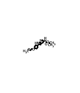 COCCOc1ccc(-c2cc3cc(NC(=O)OC(C)C)cnc3[nH]2)cc1